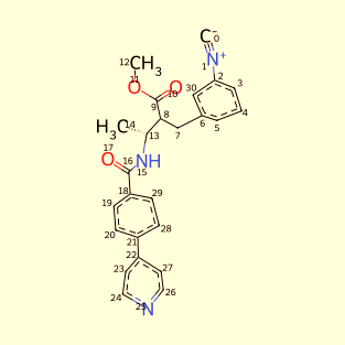 [C-]#[N+]c1cccc(CC(C(=O)OC)[C@@H](C)NC(=O)c2ccc(-c3ccncc3)cc2)c1